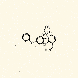 CC1C=CC(CN)=C(Cl)[N+]1(c1ccc(Oc2ccccc2)cc1)S(=O)(=O)CC(F)(F)F